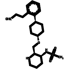 CS(=O)(=O)N[C@H]1CCCN[C@H]1CO[C@H]1CC[C@@H](c2ccccc2CCC=O)CC1